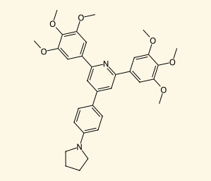 COc1cc(-c2cc(-c3ccc(N4CCCC4)cc3)cc(-c3cc(OC)c(OC)c(OC)c3)n2)cc(OC)c1OC